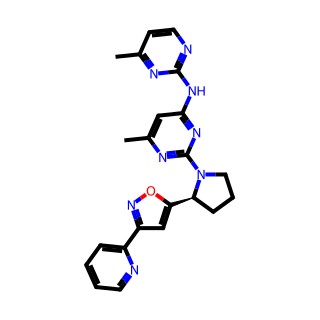 Cc1ccnc(Nc2cc(C)nc(N3CCC[C@H]3c3cc(-c4ccccn4)no3)n2)n1